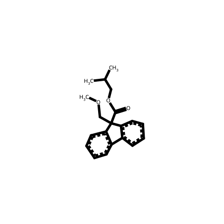 COCC1(C(=O)OCC(C)C)c2ccccc2-c2ccccc21